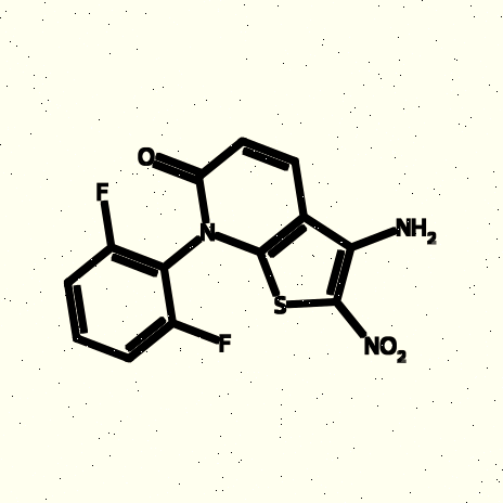 Nc1c([N+](=O)[O-])sc2c1ccc(=O)n2-c1c(F)cccc1F